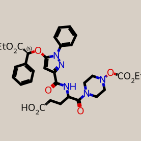 CCOC(=O)ON1CCN(C(=O)C(CCC(=O)O)NC(=O)c2cc(O[C@H](C(=O)OCC)c3ccccc3)n(-c3ccccc3)n2)CC1